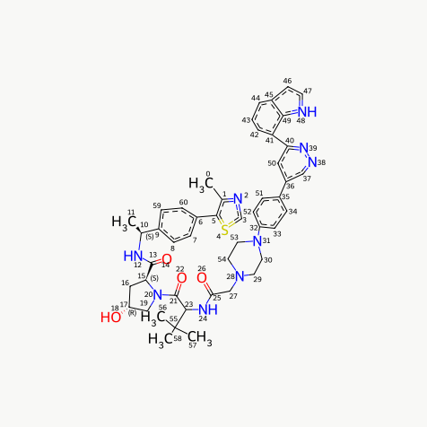 Cc1ncsc1-c1ccc([C@H](C)NC(=O)[C@@H]2C[C@@H](O)CN2C(=O)C(NC(=O)CN2CCN(c3ccc(-c4cnnc(-c5cccc6cc[nH]c56)c4)cc3)CC2)C(C)(C)C)cc1